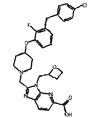 O=C(O)c1ccc2nc(CN3CCC(Oc4cccc(Cc5ccc(Cl)cc5)c4F)CC3)n(C[C@@H]3CCO3)c2n1